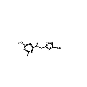 CC(=O)c1nnc(CNc2cc(O)nc(C)n2)s1